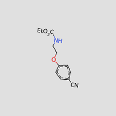 CCOC(=O)NCCOc1ccc(C#N)cc1